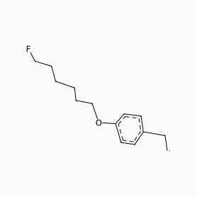 [CH2]Cc1ccc(OCCCCCCF)cc1